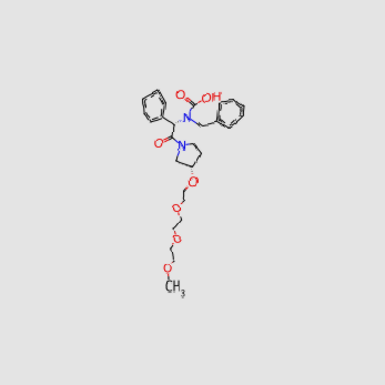 COCCOCCOCCO[C@H]1CCN(C(=O)[C@H](c2ccccc2)N(Cc2ccccc2)C(=O)O)C1